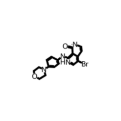 O=C1[N]C=Cc2c(Br)cnc(Nc3ccc(N4CCOCC4)cc3)c21